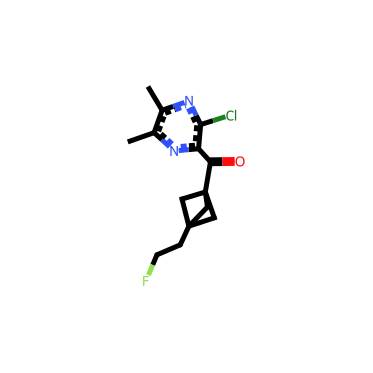 Cc1nc(Cl)c(C(=O)C23CC(CCF)(C2)C3)nc1C